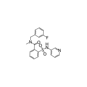 CN(Cc1cccc(F)c1)C(=O)c1ccccc1S(=O)(=O)Nc1cccnc1